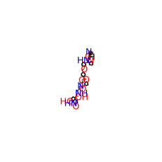 O=C(NC(c1ccccc1)c1cccc(OCc2ccc(C(=O)OCCN(CCCNCC(O)c3ccc(O)c4[nH]c(=O)ccc34)C(=O)c3ccccc3)cc2)c1)O[C@H]1CN2CCC1CC2